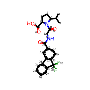 CC(C)C1CCC(C(=O)O)N1C(=O)CNC(=O)c1ccc2c(c1)-c1ccccc1C2(F)F